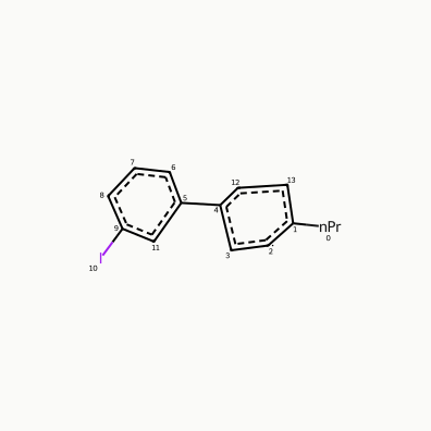 CCCc1[c]cc(-c2cccc(I)c2)cc1